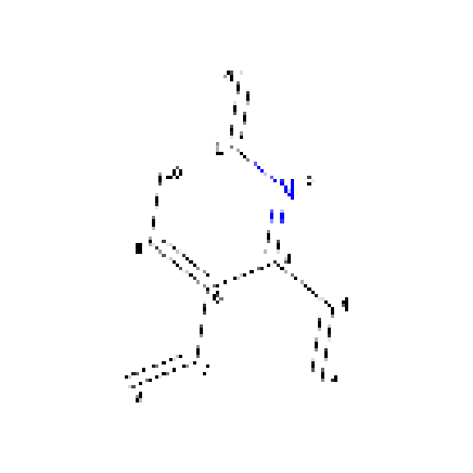 C=C/N=C(C=C)\C(C=C)=C/C